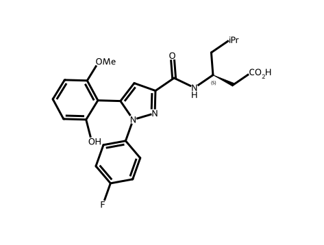 COc1cccc(O)c1-c1cc(C(=O)N[C@H](CC(=O)O)CC(C)C)nn1-c1ccc(F)cc1